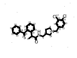 CC(C(=O)NCC1CCN(Cc2ccc(Cl)c(Cl)c2)C1)c1ccccc1C(=S)c1ccccc1